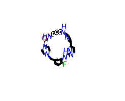 O=C1CN2CCN(CC2)Cc2ccc(F)c(c2)Nc2nccc(n2)-c2ccc(nc2)NCCCN1